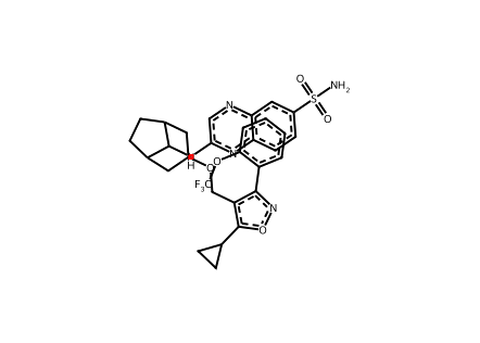 NS(=O)(=O)c1ccc2nc(NC3C4CCC3CC(OCc3c(-c5ccccc5OC(F)(F)F)noc3C3CC3)C4)cnc2c1